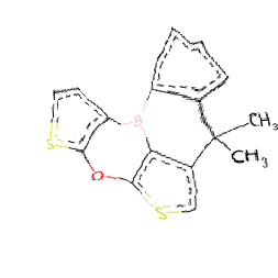 CC1(C)c2ccccc2B2c3ccsc3Oc3scc1c32